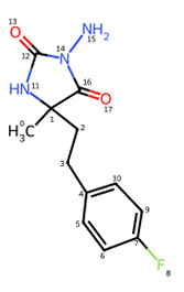 CC1(CCc2ccc(F)cc2)NC(=O)N(N)C1=O